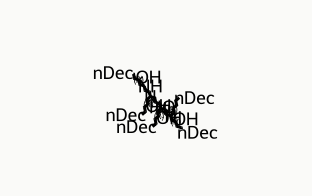 CCCCCCCCCCCC[C@@H](O)CNCCN(CCCN(CCN(C[C@H](O)CCCCCCCCCCCC)C[C@H](O)CCCCCCCCCCCC)C[C@H](O)CCCCCCCCCCCC)C[C@H](O)CCCCCCCCCCCC